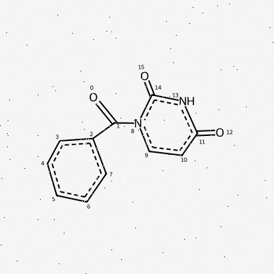 O=C(c1ccccc1)n1ccc(=O)[nH]c1=O